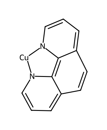 C1=C[N]2[Cu][N]3C=CC=c4ccc(c2c43)=C1